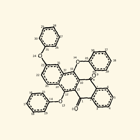 O=C1c2ccccc2C(=O)c2c1c(Oc1ccccc1)c1ccc(Oc3ccccc3)cc1c2Oc1ccccc1